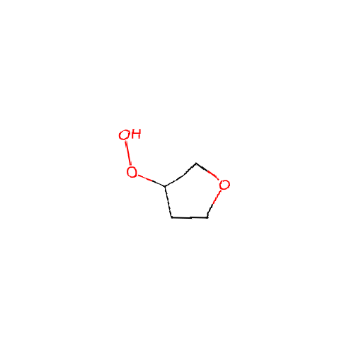 OOC1CCOC1